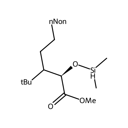 CCCCCCCCCCCC([C@@H](O[SiH](C)C)C(=O)OC)C(C)(C)C